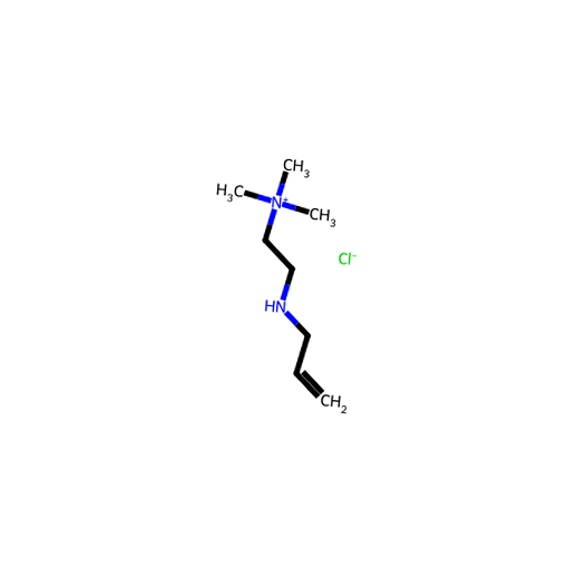 C=CCNCC[N+](C)(C)C.[Cl-]